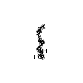 CCC(CC)(CC(=O)Nc1cccc(C=Cc2cccc(OCCCCc3ccc(OCCC(C)C)cc3)n2)c1)C(=O)O